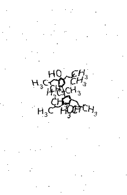 CC(C)Cc1cc(C(C)(C)c2cc(CC(C)C)c(O)c(CC(C)C)c2)cc(CC(C)C)c1O